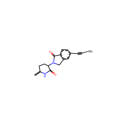 C=C1CCC(N2Cc3cc(C#CC(C)(C)C)ccc3C2=O)C(=O)N1